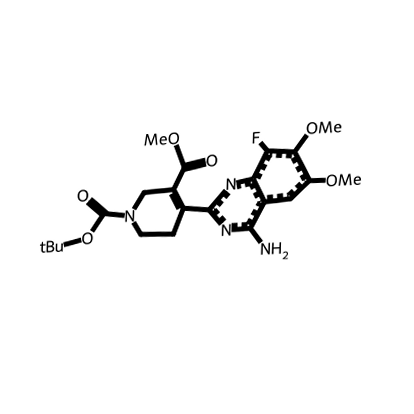 COC(=O)C1=C(c2nc(N)c3cc(OC)c(OC)c(F)c3n2)CCN(C(=O)OC(C)(C)C)C1